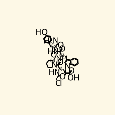 NC(=O)[C@H](Cc1ccc(O)cc1)NC(=O)[C@H](Cc1c[nH]c2ccccc12)NC(=O)[C@@H]1CCCCN1C(=O)[C@H](CCC(=O)O)NC(=O)CCl